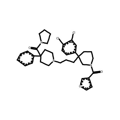 O=C(c1ccoc1)N1CCCC(CCCN2CCC(C(=O)N3CCCC3)(c3ccccc3)CC2)(c2ccc(Cl)c(Cl)c2)C1